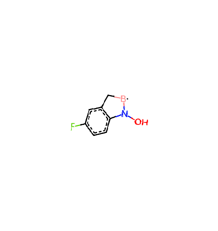 ON1[B]Cc2cc(F)ccc21